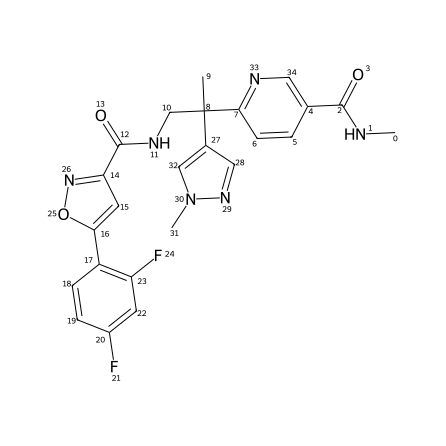 CNC(=O)c1ccc(C(C)(CNC(=O)c2cc(-c3ccc(F)cc3F)on2)c2cnn(C)c2)nc1